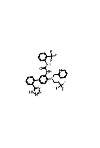 O=C(Nc1cc(-c2ccccc2-c2nnn[nH]2)ccc1N(CCC(F)(F)F)Cc1ccccn1)Nc1ccccc1C(F)(F)F